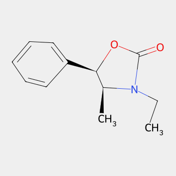 CCN1C(=O)O[C@H](c2ccccc2)[C@@H]1C